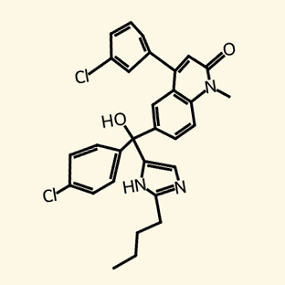 CCCCc1ncc(C(O)(c2ccc(Cl)cc2)c2ccc3c(c2)c(-c2cccc(Cl)c2)cc(=O)n3C)[nH]1